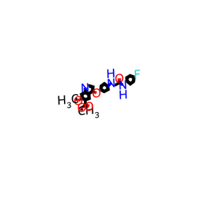 COC(=O)c1cc2c(Oc3ccc(NCC(=O)Nc4ccc(F)cc4)cc3)ccnc2cc1OC